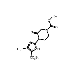 CCOC(=O)c1[nH]c(N2CCN(C(=O)OC(C)(C)C)CC2=O)nc1C